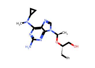 CC(C)C[C@@H](CO)O[C@H](C)n1cnc2c(N(C)C3CC3)nc(N)nc21